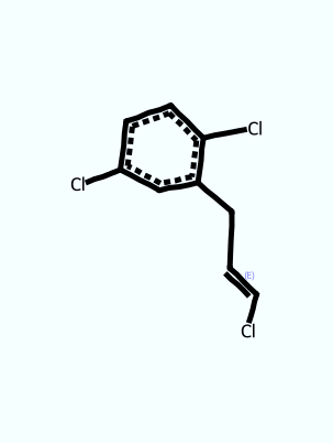 Cl/C=C/Cc1cc(Cl)ccc1Cl